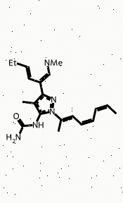 C\C=C/C=C\C=C(/C)n1nc(C(/C=C/CC)=C/NC)c(C)c1NC(N)=O